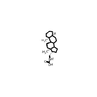 C[C@]12CCC3C(CC[C@@H]4CCCC[C@]34C)C1CC[C@@H]2CNC(=O)O